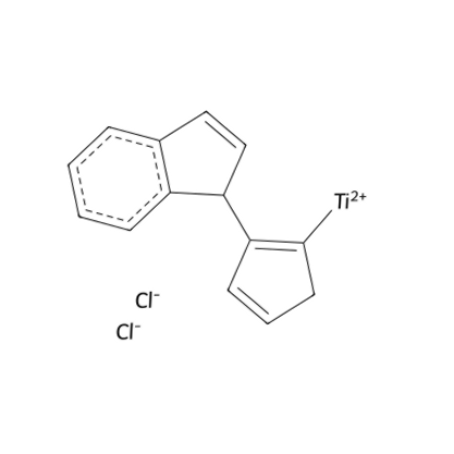 [Cl-].[Cl-].[Ti+2][C]1=C(C2C=Cc3ccccc32)C=CC1